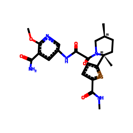 CNC(=O)c1ccc([C@]2(C)CC[C@H](C)CN2C(=O)C(=O)Nc2cnc(OC)c(C(N)=O)c2)s1